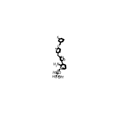 Nc1c(-c2cc(Cc3ccc(OCc4cccc(F)c4)nc3)no2)ccc[n+]1CO[PH](O)(O)O